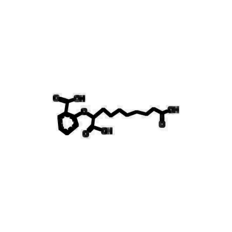 O=C(O)CCCCCCCC(Oc1ccccc1C(=O)O)C(=O)O